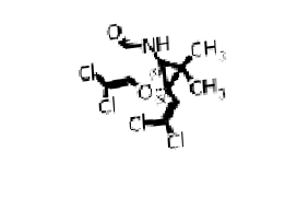 CC1(C)[C@H](NC=O)[C@@]1(C=C(Cl)Cl)OC=C(Cl)Cl